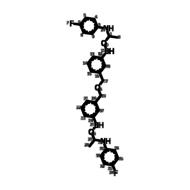 CC(Nc1ccc(F)cc1)OBc1cccc(COCc2cccc(BOC(C)Nc3ccc(F)cc3)c2)c1